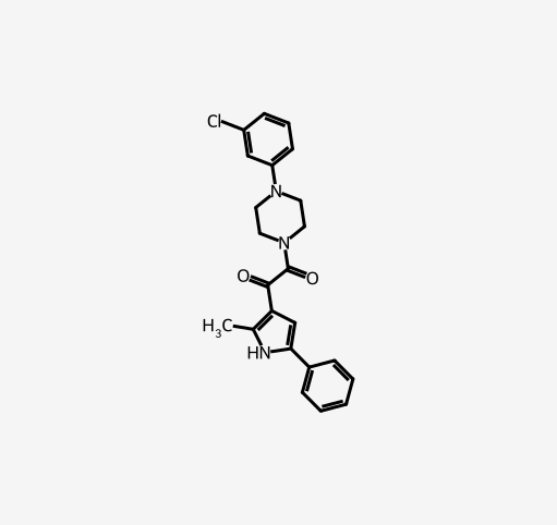 Cc1[nH]c(-c2ccccc2)cc1C(=O)C(=O)N1CCN(c2cccc(Cl)c2)CC1